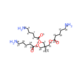 CCC(COC(=O)CCCCN)(COC(=O)CCCCN)COC(=O)CCCCN